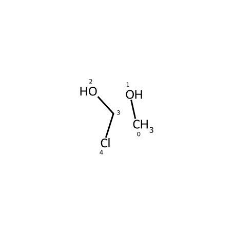 CO.OCCl